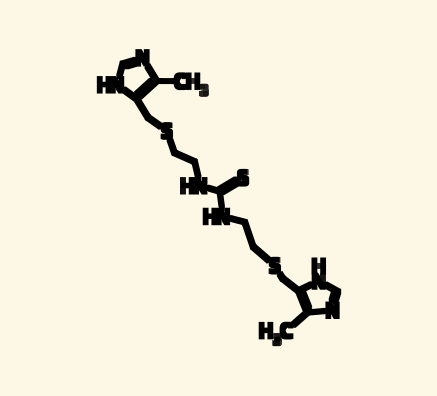 Cc1nc[nH]c1CSCCNC(=S)NCCSCc1[nH]cnc1C